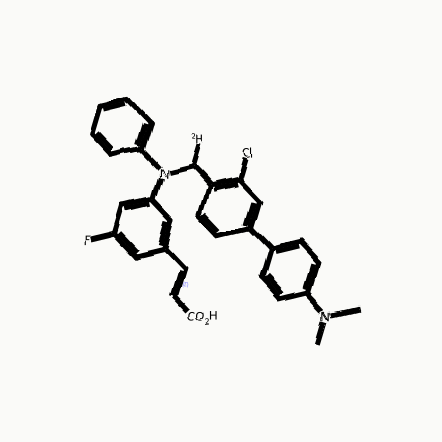 [2H]C(c1ccc(-c2ccc(N(C)C)cc2)cc1Cl)N(c1ccccc1)c1cc(F)cc(/C=C/C(=O)O)c1